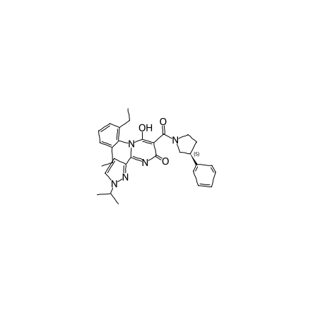 CCc1cccc(CC)c1-n1c(-c2ccn(C(C)C)n2)nc(=O)c(C(=O)N2CC[C@@H](c3ccccc3)C2)c1O